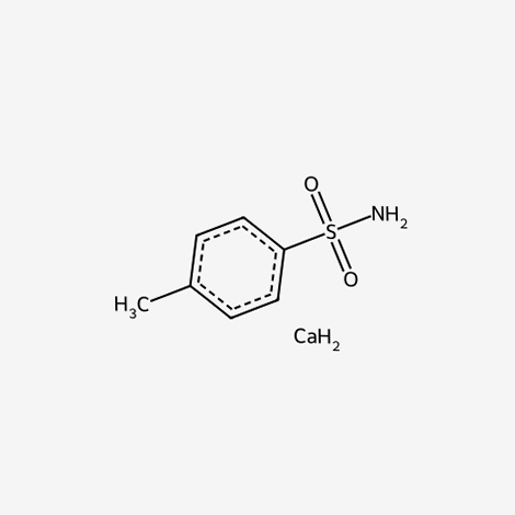 Cc1ccc(S(N)(=O)=O)cc1.[CaH2]